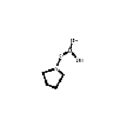 OB(O)ON1CCCC1